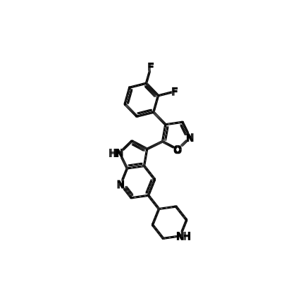 Fc1cccc(-c2cnoc2-c2c[nH]c3ncc(C4CCNCC4)cc23)c1F